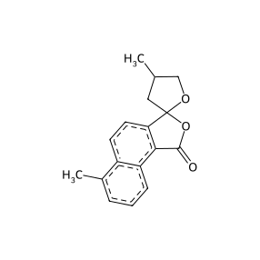 Cc1cccc2c3c(ccc12)C1(CC(C)CO1)OC3=O